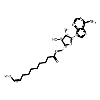 CCCCCCCC/C=C\CCCCCCCC(=O)OC[C@H]1O[C@@H](n2cnc3c(N)ncnc32)[C@@H](O)[C@@H]1O